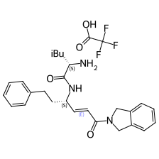 CCC(C)[C@H](N)C(=O)N[C@H](/C=C/C(=O)N1Cc2ccccc2C1)CCc1ccccc1.O=C(O)C(F)(F)F